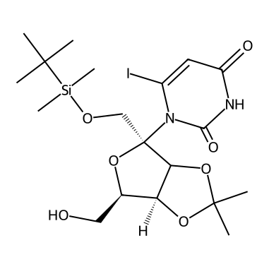 CC1(C)OC2[C@@H](O1)[C@@H](CO)O[C@@]2(CO[Si](C)(C)C(C)(C)C)n1c(I)cc(=O)[nH]c1=O